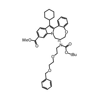 COC(=O)c1ccc2c(C3CCCCC3)c3n(c2c1)C[C@@H](N(CCOCCOCc1ccccc1)C(=O)OC(C)(C)C)COc1ccccc1-3